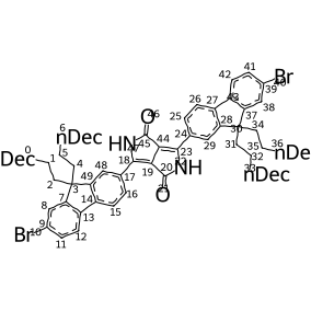 CCCCCCCCCCCCC1(CCCCCCCCCCCC)c2cc(Br)ccc2-c2ccc(C3=C4C(=O)NC(c5ccc6c(c5)C(CCCCCCCCCCCC)(CCCCCCCCCCCC)c5cc(Br)ccc5-6)=C4C(=O)N3)cc21